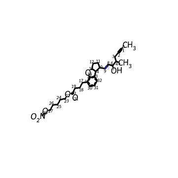 CC#CCC(C)C(O)/C=C/C1CCC2Oc3c(CCCC(=O)OCCCCCO[N+](=O)[O-])cccc3C12